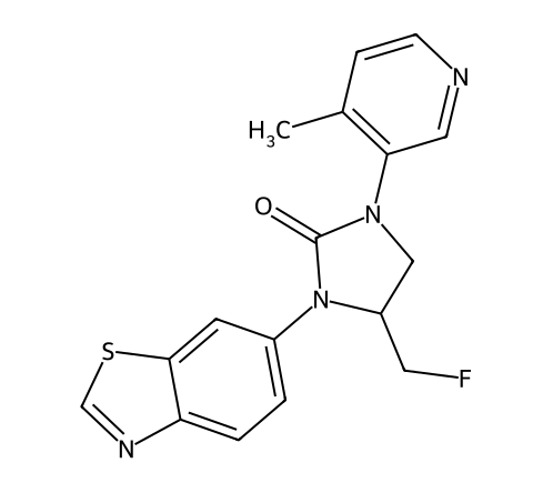 Cc1ccncc1N1CC(CF)N(c2ccc3ncsc3c2)C1=O